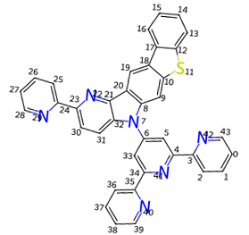 c1ccc(-c2cc(-n3c4cc5sc6ccccc6c5cc4c4nc(-c5ccccn5)ccc43)cc(-c3ccccn3)n2)nc1